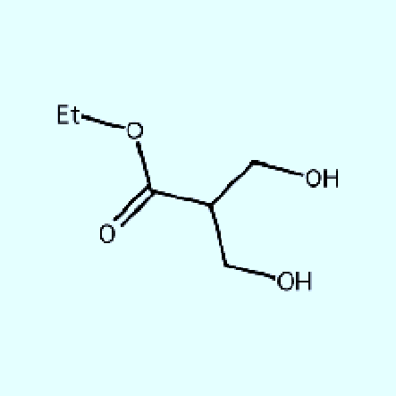 CCOC(=O)C(CO)CO